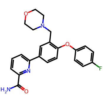 NC(=O)c1cccc(-c2ccc(Oc3ccc(F)cc3)c(CN3CCOCC3)c2)n1